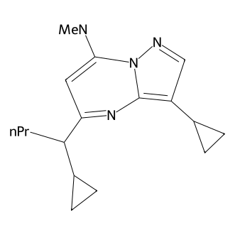 CCCC(c1cc(NC)n2ncc(C3CC3)c2n1)C1CC1